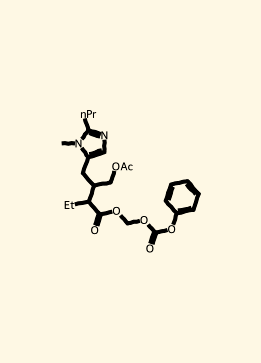 CCCc1ncc(CC(COC(C)=O)C(CC)C(=O)OCOC(=O)Oc2ccccc2)n1C